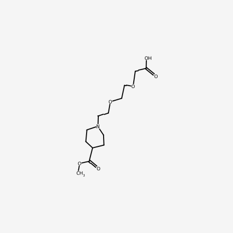 COC(=O)C1CCN(CCOCCOCC(=O)O)CC1